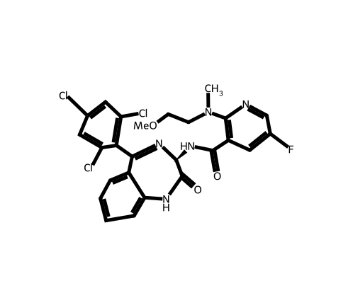 COCCN(C)c1ncc(F)cc1C(=O)N[C@@H]1N=C(c2c(Cl)cc(Cl)cc2Cl)c2ccccc2NC1=O